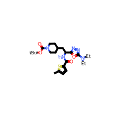 CCN(CC)c1nnc(C(CC2CCN(C(=O)OC(C)(C)C)CC2)NC(=O)c2ccc(C)s2)o1